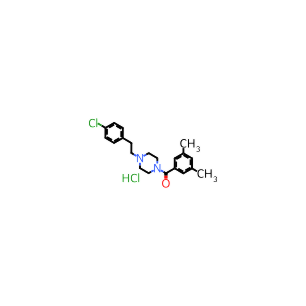 Cc1cc(C)cc(C(=O)N2CCN(CCc3ccc(Cl)cc3)CC2)c1.Cl